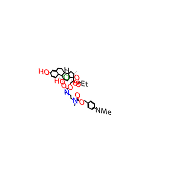 CCC(=O)O[C@]1(C(=O)COC(=O)N(C)CCN(C)C(=O)OCc2ccc(NC)cc2)[C@@H](C)CC2[C@@H]3CCC4=CC(O)C=C[C@]4(C)[C@@]3(Cl)[C@@H](O)C[C@@]21C